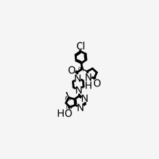 C[C@@H]1C[C@@H](O)c2ncnc(N3CCN(C(=O)[C@@H](c4ccc(Cl)cc4)C4CCC(=O)N4)CC3)c21